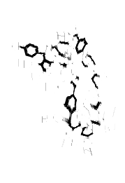 Cc1ncsc1-c1ccc([C@H](C)C(C)C(=O)[C@@H]2C[C@@H](O)CN2C(=O)[C@@H](NC(=O)COCCC(=O)N2CCN(c3ccc([C@H](C)NC(=O)C[C@@H]4N=C(c5ccc(Cl)cc5)c5c(sc(C)c5C)-n5c(C)nnc54)cc3)CC2)C(C)(C)C)cc1